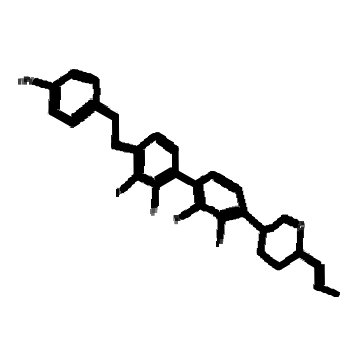 C/C=C/C1CCC(c2ccc(-c3ccc(CCc4ccc(CCC)cc4)c(F)c3F)c(F)c2F)CO1